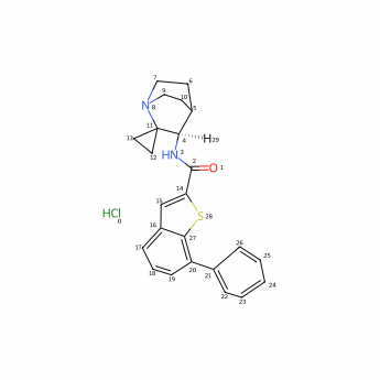 Cl.O=C(N[C@@H]1C2CCN(CC2)C12CC2)c1cc2cccc(-c3ccccc3)c2s1